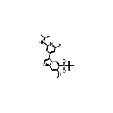 COc1cc2ncc(-c3cc(F)nc(NC(C)C)c3)n2cc1S(=O)(=O)C(C)(C)C